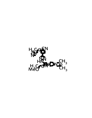 COCC(C)COc1nn([C@H]2CC[C@H](N3C[C@@H](C)O[C@@H](C)C3)CC2)cc1Nc1ncc(-c2ccc(C#N)c(O[C@@H](C)Cn3cncn3)c2)cn1